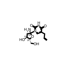 C=CCc1cn([C@@]2(N)C[C@H](O)[C@@H](CO)O2)c(=O)[nH]c1=O